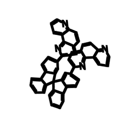 c1ccc2c(c1)-c1ccc(-c3ccc4ccc5ncccc5c4n3)cc1C21c2ccccc2-c2ccc(-c3ccc4ccc5ncccc5c4n3)cc21